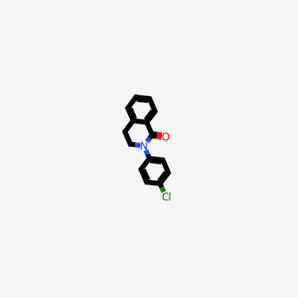 O=C1c2ccccc2CCN1c1ccc(Cl)cc1